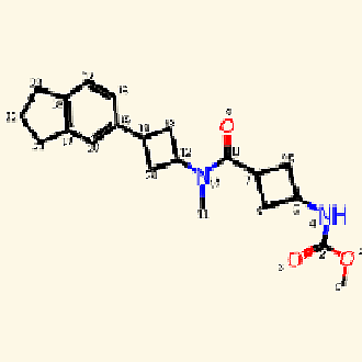 COC(=O)NC1CC(C(=O)N(C)C2CC(c3ccc4c(c3)CCC4)C2)C1